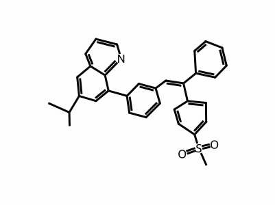 CC(C)c1cc(-c2cccc(C=C(c3ccccc3)c3ccc(S(C)(=O)=O)cc3)c2)c2ncccc2c1